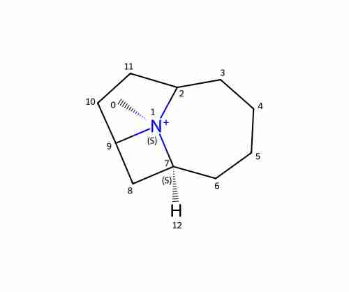 C[N@+]12C3CCCC[C@H]1CC2CC3